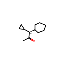 CC(=O)[C@H](C1CCCCC1)C1CC1